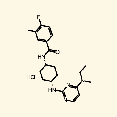 CCN(C)c1ccnc(N[C@H]2CC[C@@H](NC(=O)c3ccc(F)c(F)c3)CC2)n1.Cl